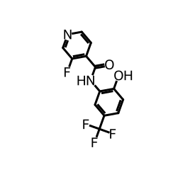 O=C(Nc1cc(C(F)(F)F)ccc1O)c1ccncc1F